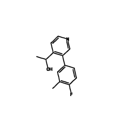 Cc1cc(-c2cnccc2C(C)O)ccc1F